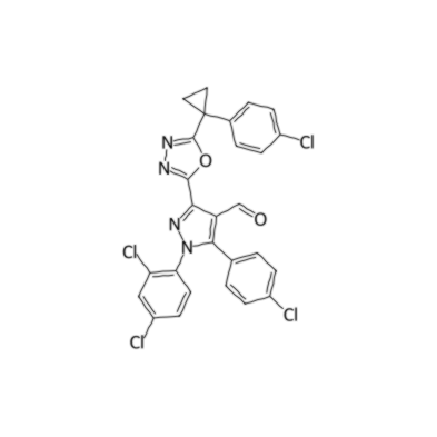 O=Cc1c(-c2nnc(C3(c4ccc(Cl)cc4)CC3)o2)nn(-c2ccc(Cl)cc2Cl)c1-c1ccc(Cl)cc1